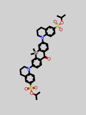 CC(C)OS(=O)(=O)c1ccc2c(c1)CCCN2c1ccc2c(c1)[Si](C)(C)c1cc(N3CCCc4cc(S(=O)(=O)OC(C)C)ccc43)ccc1C2=O